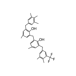 Cc1cc(Cc2cc(C)c(C)c(C)c2)c(O)c(Cc2cc(C)cc(Cc3cc(C)c(C)c(C(F)(F)F)c3)c2O)c1